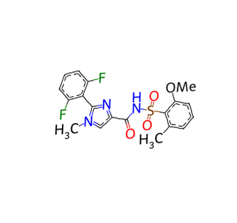 COc1cccc(C)c1S(=O)(=O)NC(=O)c1cn(C)c(-c2c(F)cccc2F)n1